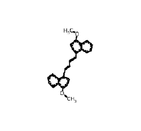 COc1ccc(/C=C/C=C/c2ccc(OC)c3ccccc23)c2ccccc12